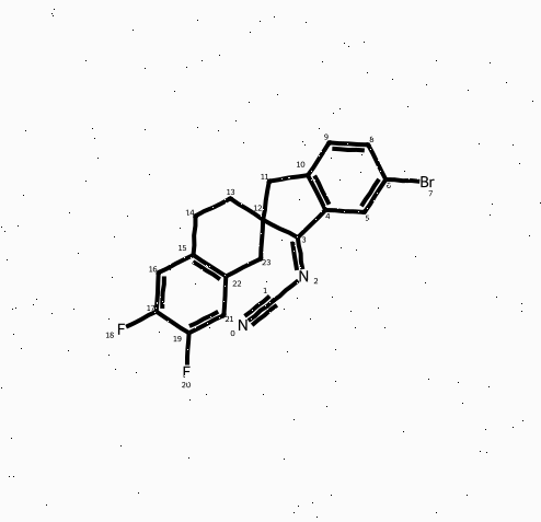 N#C/N=C1/c2cc(Br)ccc2CC12CCc1cc(F)c(F)cc1C2